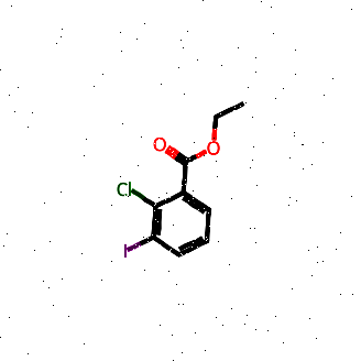 CCOC(=O)c1cccc(I)c1Cl